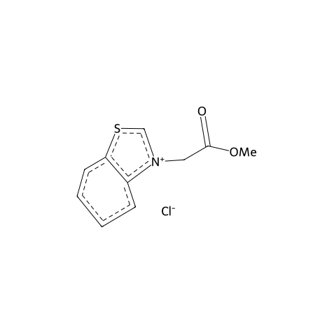 COC(=O)C[n+]1csc2ccccc21.[Cl-]